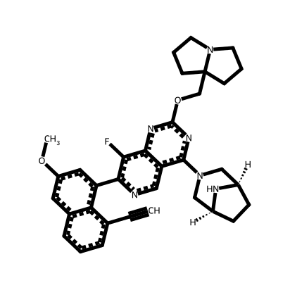 C#Cc1cccc2cc(OC)cc(-c3ncc4c(N5C[C@H]6CC[C@@H](C5)N6)nc(OCC56CCCN5CCC6)nc4c3F)c12